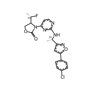 C[C@H](Nc1nccc(N2C(=O)OCC2[C@H](C)F)n1)c1cc(-c2ccc(Cl)cc2)on1